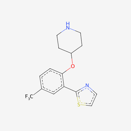 FC(F)(F)c1ccc(OC2CCNCC2)c(-c2nccs2)c1